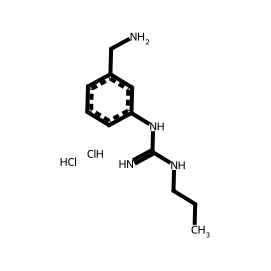 CCCNC(=N)Nc1cccc(CN)c1.Cl.Cl